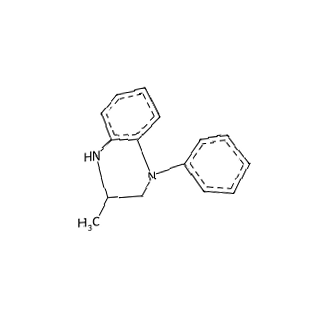 CC1CN(c2ccccc2)c2ccccc2N1